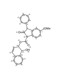 COc1ccc2c(c1)C(c1ccccc1)C(=O)N2C(=O)OC1C=Cc2ccccc2C1O